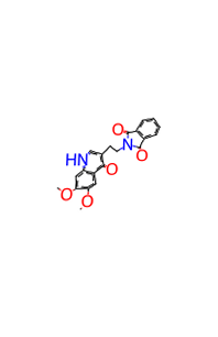 COc1cc2[nH]cc(CCN3C(=O)c4ccccc4C3=O)c(=O)c2cc1OC